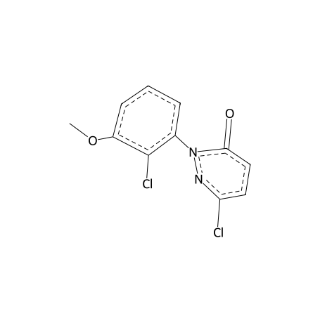 COc1cccc(-n2nc(Cl)ccc2=O)c1Cl